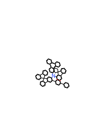 c1ccc(-c2ccc(-c3cc4c(cc3N(c3ccc5c6ccccc6c6ccccc6c5c3)c3cccc5c3C3(CCCC3)c3ccccc3-5)C3(c5ccccc5-c5ccccc53)c3ccccc3-4)cc2)cc1